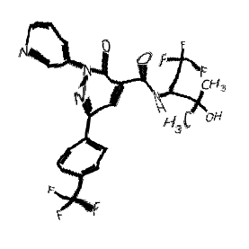 CC(C)(O)C(NC(=O)c1cc(-c2ccc(C(F)(F)F)cc2)nn(-c2cccnc2)c1=O)C(F)(F)F